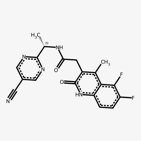 Cc1c(CC(=O)N[C@@H](C)c2ncc(C#N)cn2)c(=O)[nH]c2ccc(F)c(F)c12